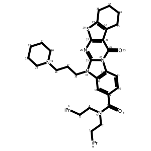 CC(C)CCN(CCC(C)C)C(=O)c1ccc2c(c1)n(CCCN1CCCCC1)c1nc3sc4c(c3c(=O)n21)CCCC4